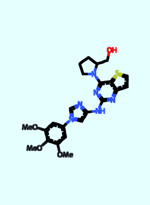 COc1cc(-n2cnc(Nc3nc(N4CCCC4CO)c4sccc4n3)c2)cc(OC)c1OC